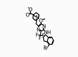 COC(=O)C12CCC(CC1)N(Cc1nc(C(F)(F)F)c(N[C@H]3CCc4c(Br)cccc43)nc1OC)C2